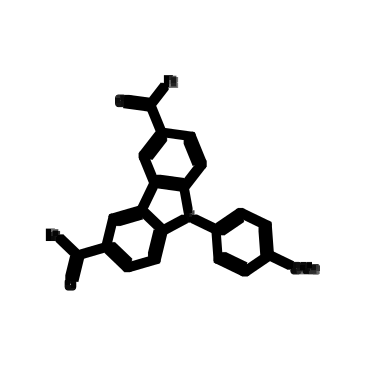 CCC(=O)c1ccc2c(c1)c1cc(C(=O)CC)ccc1n2-c1ccc(OC)cc1